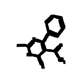 Cc1nc(-c2ccccc2)c(C(N)=O)c(=S)[nH]1